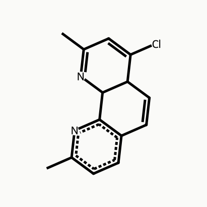 CC1=NC2c3nc(C)ccc3C=CC2C(Cl)=C1